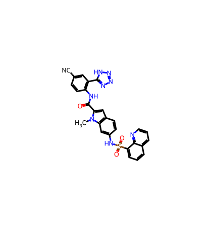 Cn1c(C(=O)Nc2ccc(C#N)cc2-c2nnn[nH]2)cc2ccc(NS(=O)(=O)c3cccc4cccnc34)cc21